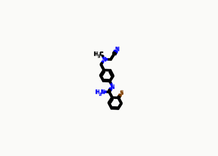 CN(CC#N)Cc1ccc(N=C(N)C2=CC=CCC2=S)cc1